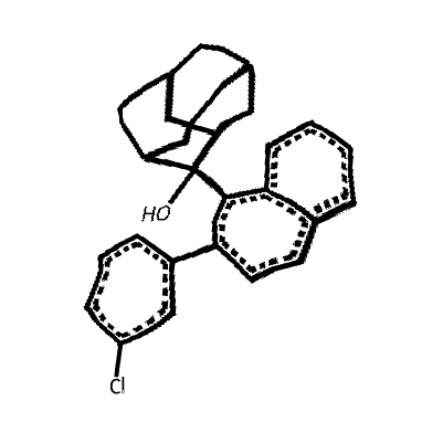 OC1(c2c(-c3cccc(Cl)c3)ccc3ccccc23)C2CC3CC(C2)CC1C3